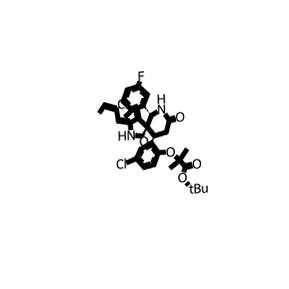 C=C1/C(=C\C(Cl)=C/C)NC(=O)[C@@]12[C@@H](c1cc(Cl)ccc1OC(C)(C)C(=O)OC(C)(C)C)CC(=O)N[C@H]2c1cc(F)ccc1C